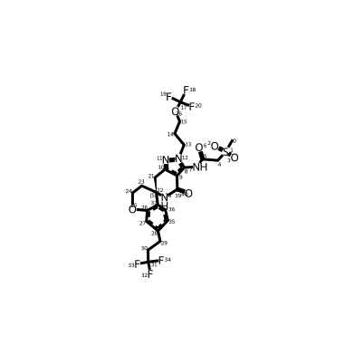 CS(=O)(=O)CC(=O)Nc1c2c(nn1CCCOC(F)(F)F)C[C@@]1(CCOc3cc(CCC(F)(F)F)ccc31)NC2=O